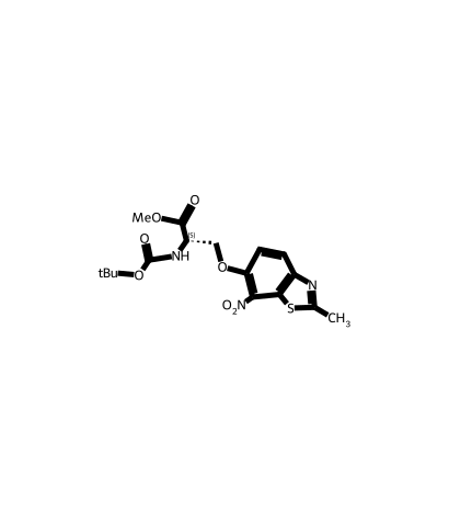 COC(=O)[C@H](COc1ccc2nc(C)sc2c1[N+](=O)[O-])NC(=O)OC(C)(C)C